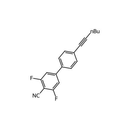 CCCCC#Cc1ccc(-c2cc(F)c(C#N)c(F)c2)cc1